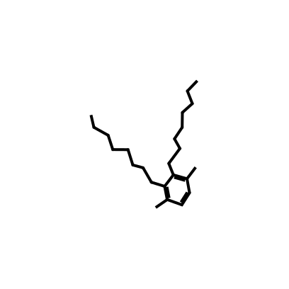 CCCCCCCCc1c(C)ccc(C)c1CCCCCCCC